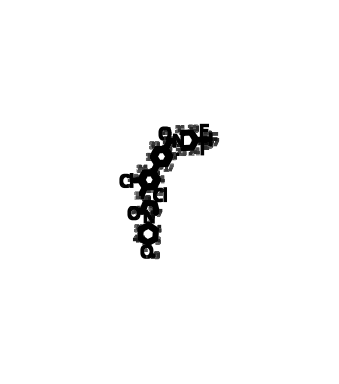 CO[C@H]1CC[C@H](N2CC[C@@H](Cc3c(Cl)cc(-c4ccc(C(=O)N5CCC(C(F)(F)F)CC5)cc4)cc3Cl)C2=O)CC1